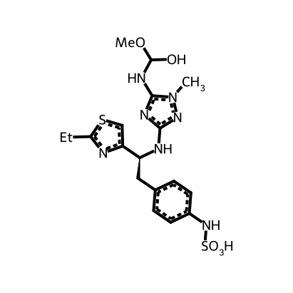 CCc1nc([C@H](Cc2ccc(NS(=O)(=O)O)cc2)Nc2nc(NC(O)OC)n(C)n2)cs1